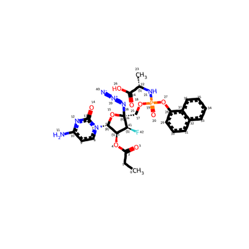 CCC(=O)O[C@H]1[C@H](n2ccc(N)nc2=O)O[C@@](COP(=O)(N[C@@H](C)C(=O)O)Oc2cccc3ccccc23)(N=[N+]=[N-])[C@H]1F